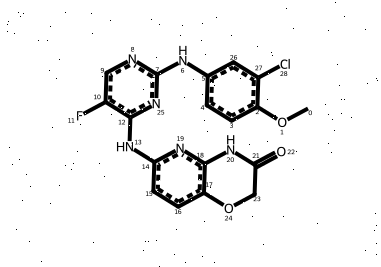 COc1ccc(Nc2ncc(F)c(Nc3ccc4c(n3)NC(=O)CO4)n2)cc1Cl